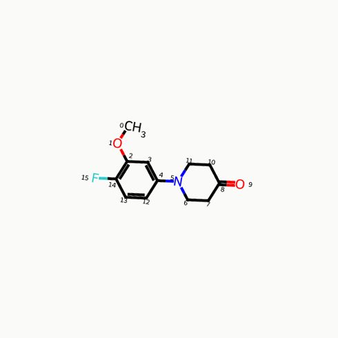 COc1cc(N2CCC(=O)CC2)ccc1F